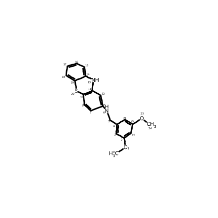 COc1cc(CNc2ccc3c(c2)Nc2ccccc2S3)cc(OC)c1